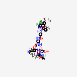 COc1ccc(C(N)=O)c(-c2c(Cl)c(F)cc3c2[C@H](C)[C@@](CNC2CCC(C(=O)NC4CCC(NC(=O)COc5cc(-c6scnc6C)ccc5CNC(=O)[C@@H]5C[C@@H](O)CN5C(=O)[C@@H](NC(=O)C5(F)CC5)C(C)(C)C)CC4)CC2)(c2ccccc2)O3)c1F